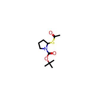 CC(=O)SC1CCCN1C(=O)OC(C)(C)C